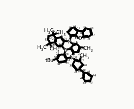 Cc1cc2c3c(c1)N(c1cccc4c1oc1ccccc14)c1cc4c(cc1B3c1cc(C(C)(C)C)ccc1N2c1ccc(-c2ccccc2)cc1C)C(C)(C)CCC4(C)C